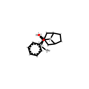 CC(C)(C)OC(=O)N1C2CCC1CC(O)(c1ccccc1)C2